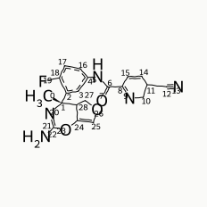 C[C@]1(c2cc(NC(=O)C3=NCC(C#N)C=C3)ccc2F)N=C(N)OC2=COCC21